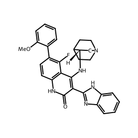 COc1ccccc1-c1ccc2[nH]c(=O)c(-c3nc4ccccc4[nH]3)c(N[C@H]3CN4CCC3CC4)c2c1F